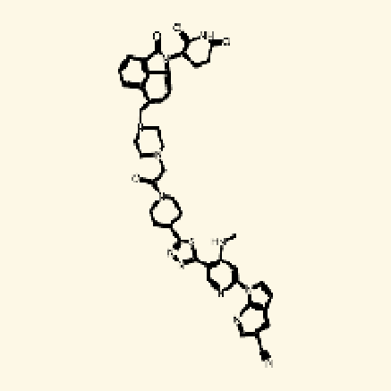 CNc1cc(-n2ccc3cc(C#N)cnc32)ncc1-c1nnc(C2CCN(C(=O)CN3CCN(Cc4ccc5c6c(cccc46)C(=O)N5C4CCC(=O)NC4=O)CC3)CC2)s1